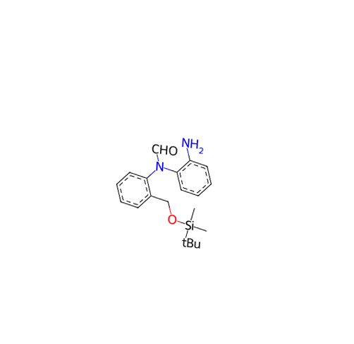 CC(C)(C)[Si](C)(C)OCc1ccccc1N(C=O)c1ccccc1N